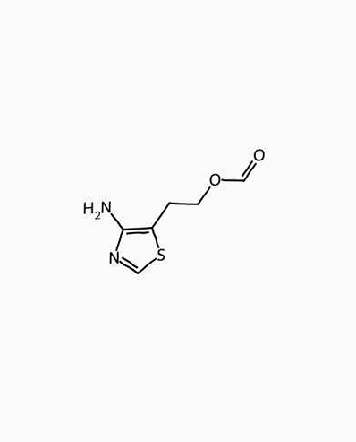 Nc1ncsc1CCOC=O